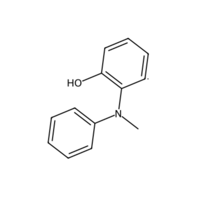 CN(c1ccccc1)c1[c]cccc1O